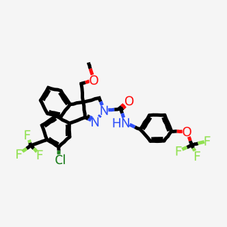 COCC1(c2ccccc2)CN(C(=O)Nc2ccc(OC(F)(F)F)cc2)N=C1c1ccc(C(F)(F)F)c(Cl)c1